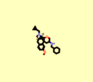 COc1ccc2c(c1)C13CC(NCC4CCCCC4)COC1[C@@H]1N(CC4CC4)C[C@]1(C2)C3